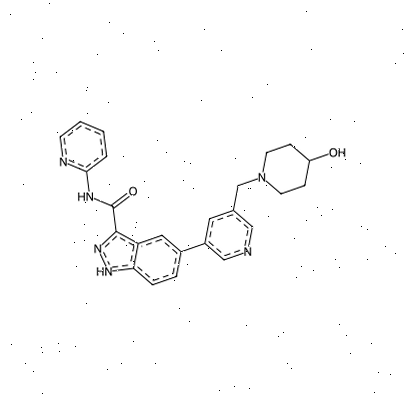 O=C(Nc1ccccn1)c1n[nH]c2ccc(-c3cncc(CN4CCC(O)CC4)c3)cc12